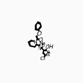 O=C(COc1ccccc1)N1CCCCC1c1noc(-c2cc(Cl)nnc2O)n1